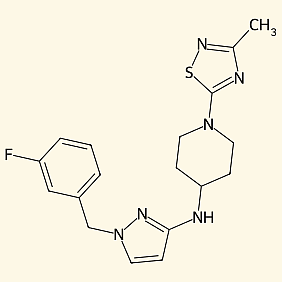 Cc1nsc(N2CCC(Nc3ccn(Cc4cccc(F)c4)n3)CC2)n1